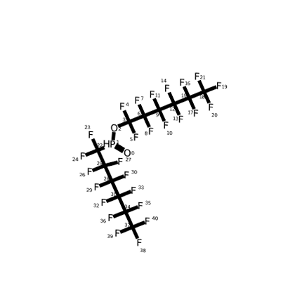 O=[PH](OC(F)(F)C(F)(F)C(F)(F)C(F)(F)C(F)(F)C(F)(F)F)C(F)(F)C(F)(F)C(F)(F)C(F)(F)C(F)(F)C(F)(F)F